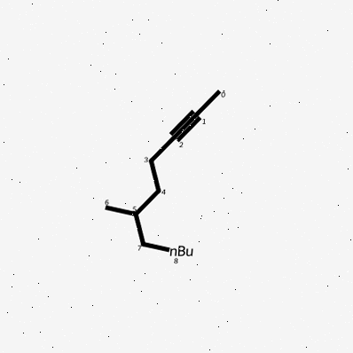 [CH2]C#CCCC(C)CCCC[CH2]